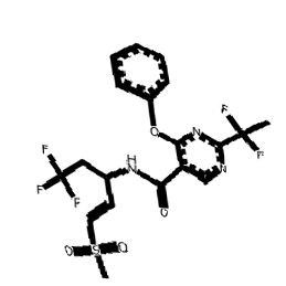 CC(F)(F)c1ncc(C(=O)NC(C=CS(C)(=O)=O)CC(F)(F)F)c(Oc2ccccc2)n1